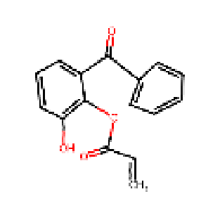 C=CC(=O)Oc1c(O)cccc1C(=O)c1ccccc1